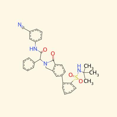 CC(C)(C)NS(=O)(=O)c1ccccc1-c1ccc2c(c1)CN(C(C(=O)Nc1cccc(C#N)c1)c1ccccc1)C2=O